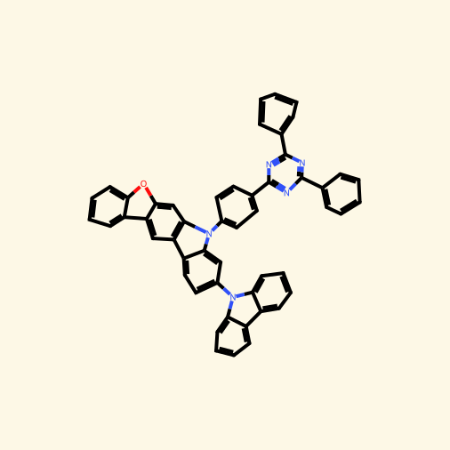 c1ccc(-c2nc(-c3ccccc3)nc(-c3ccc(-n4c5cc(-n6c7ccccc7c7ccccc76)ccc5c5cc6c(cc54)oc4ccccc46)cc3)n2)cc1